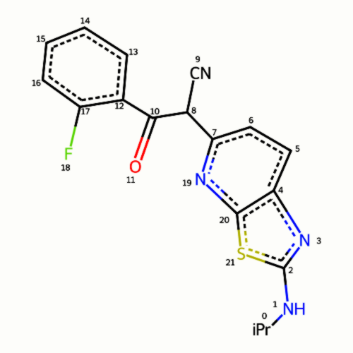 CC(C)Nc1nc2ccc(C(C#N)C(=O)c3ccccc3F)nc2s1